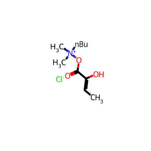 CC=C(O)C(=O)O[N+](C)(C)CCCC.[Cl-]